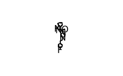 Cn1nc(C(=O)N2CCN(CCc3ccc(F)cc3)CC2)c2ccccc21